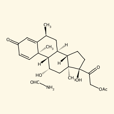 CC(=O)OCC(=O)[C@@]1(O)CC[C@H]2[C@@H]3C[C@H](C)C4=CC(=O)C=C[C@]4(C)[C@H]3[C@@H](O)C[C@@]21C.NC=O